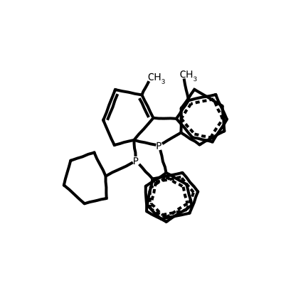 CC1=C(c2ccccc2C)C(P(c2ccccc2)C2CCCCC2)(P(c2ccccc2)C2CCCCC2)CC=C1